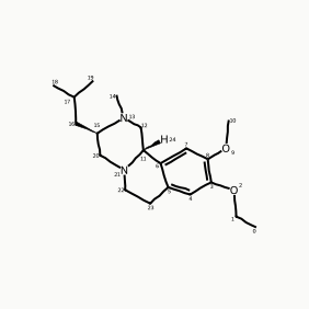 CCOc1cc2c(cc1OC)[C@H]1CN(C)[C@H](CC(C)C)CN1CC2